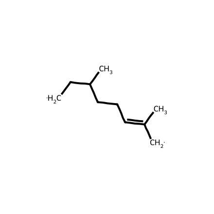 [CH2]CC(C)CCC=C([CH2])C